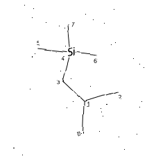 CC(C)C[Si](C)(C)C